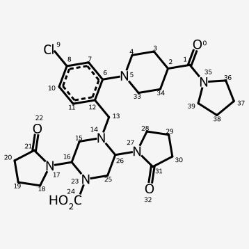 O=C(C1CCN(c2cc(Cl)ccc2CN2CC(N3CCCC3=O)N(C(=O)O)CC2N2CCCC2=O)CC1)N1CCCC1